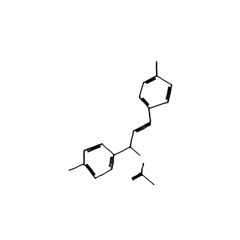 CC(=O)OC(/C=C/c1ccc(Cl)cc1)c1ccc(C)cc1